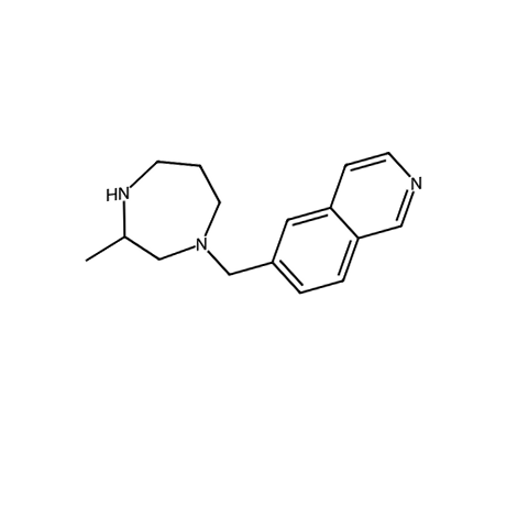 CC1CN(Cc2ccc3cnccc3c2)CCCN1